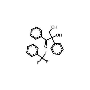 FC(F)(F)c1ccccc1.O=C(c1ccccc1)C(O)(CO)c1ccccc1